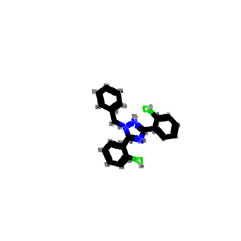 Clc1ccccc1-c1nc(-c2ccccc2Cl)n(Cc2ccccc2)n1